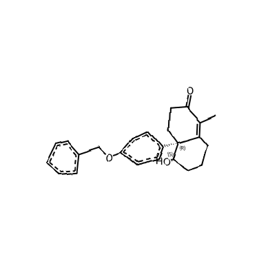 CC1=C2CCC[C@H](O)[C@@]2(c2ccc(OCc3ccccc3)cc2)CCC1=O